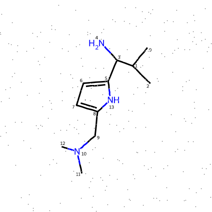 CC(C)C(N)c1ccc(CN(C)C)[nH]1